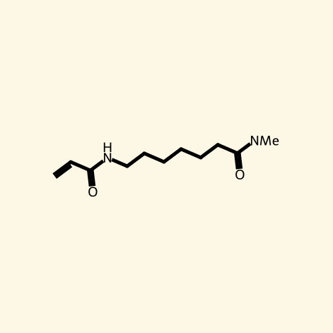 C=CC(=O)NCCCCCCC(=O)NC